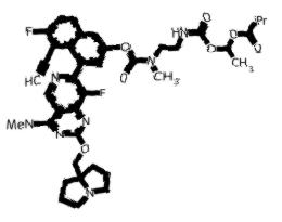 C#Cc1c(F)ccc2cc(OC(=O)N(C)CCNC(=O)OC(C)OC(=O)C(C)C)cc(-c3ncc4c(NC)nc(OCC56CCCN5CCC6)nc4c3F)c12